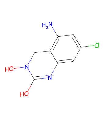 Nc1cc(Cl)cc2c1CN(O)C(O)=N2